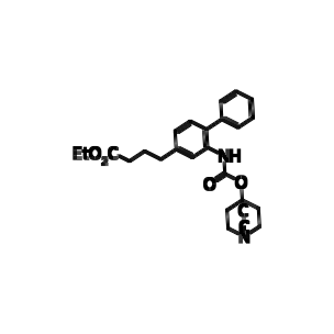 CCOC(=O)CCCc1ccc(-c2ccccc2)c(NC(=O)OC23CCN(CC2)CC3)c1